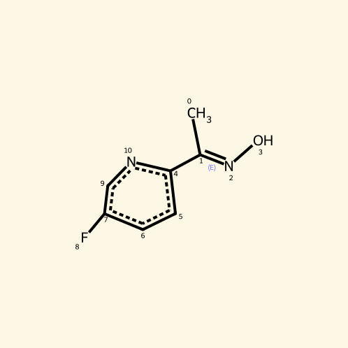 C/C(=N\O)c1ccc(F)cn1